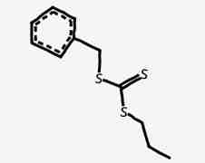 CCCSC(=S)SCc1ccccc1